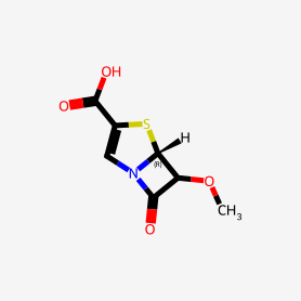 COC1C(=O)N2C=C(C(=O)O)S[C@H]12